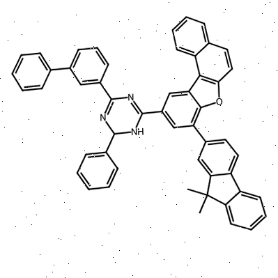 CC1(C)c2ccccc2-c2ccc(-c3cc(C4=NC(c5cccc(-c6ccccc6)c5)=NC(c5ccccc5)N4)cc4c3oc3ccc5ccccc5c34)cc21